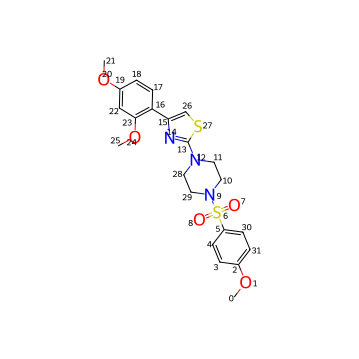 COc1ccc(S(=O)(=O)N2CCN(c3nc(-c4ccc(OC)cc4OC)cs3)CC2)cc1